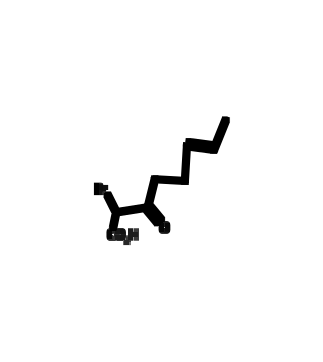 CC=CCCC(=O)C(Br)C(=O)O